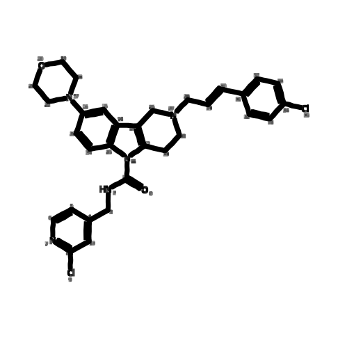 O=C(NCc1ccnc(Cl)c1)n1c2c(c3cc(N4CCOCC4)ccc31)CN(CC=Cc1ccc(Cl)cc1)CC2